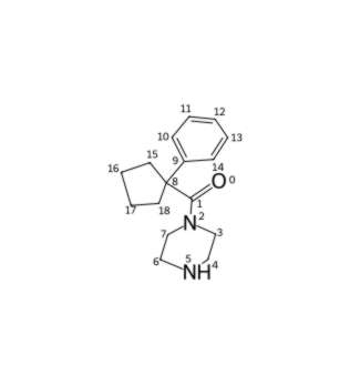 O=C(N1CCNCC1)C1(c2ccccc2)CCCC1